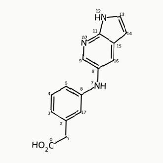 O=C(O)Cc1cccc(Nc2cnc3[nH]ccc3c2)c1